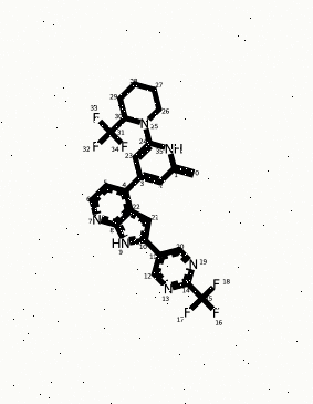 C=C1C=C(c2ccnc3[nH]c(-c4cnc(C(F)(F)F)nc4)cc23)C=C(N2CCCCC2C(F)(F)F)N1